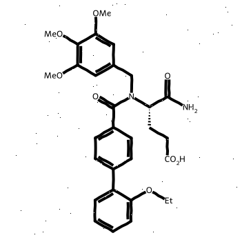 CCOc1ccccc1-c1ccc(C(=O)N(Cc2cc(OC)c(OC)c(OC)c2)[C@@H](CCC(=O)O)C(N)=O)cc1